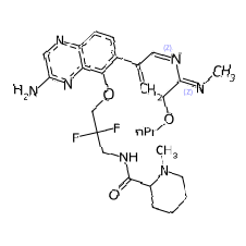 C=C(/C=N\C(COCCC)=N/C)c1ccc2ncc(N)nc2c1OCC(F)(F)CNC(=O)C1CCCCN1C